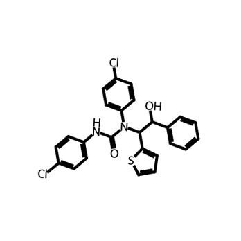 O=C(Nc1ccc(Cl)cc1)N(c1ccc(Cl)cc1)C(c1cccs1)C(O)c1ccccc1